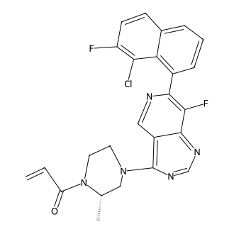 C=CC(=O)N1CCN(c2ncnc3c(F)c(-c4cccc5ccc(F)c(Cl)c45)ncc23)C[C@@H]1C